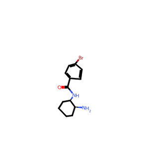 N[C@H]1CCCC[C@H]1NC(=O)c1ccc(Br)cc1